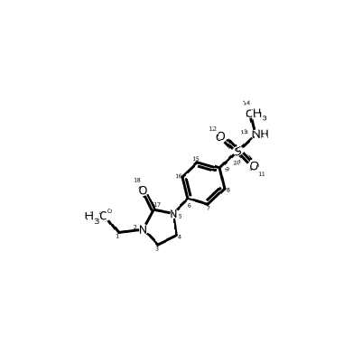 CCN1CCN(c2ccc(S(=O)(=O)NC)cc2)C1=O